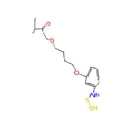 CC(C)C(=O)COCCCCOc1cccc(NSS)c1